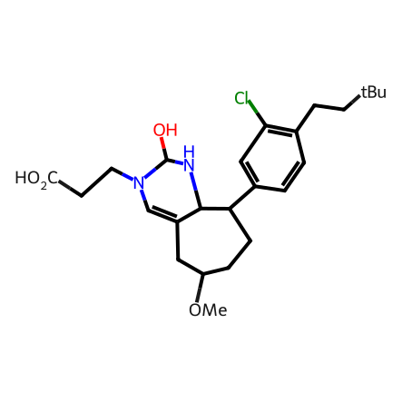 COC1CCC(c2ccc(CCC(C)(C)C)c(Cl)c2)C2NC(O)N(CCC(=O)O)C=C2C1